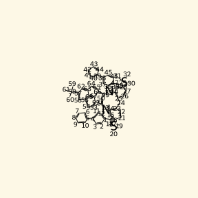 Cc1ccc(-c2ccccc2)cc1N1c2cc(S(C)(C)C)ccc2Cc2ccc(S(C)(C)C)cc2N(c2cc(-c3ccccc3)ccc2C)c2cc1c1ccc3cc(C(C)(C)C)cc4ccc2c1c34